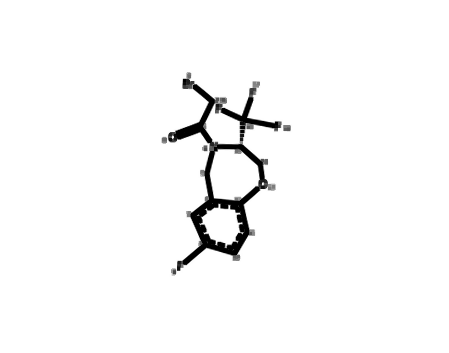 O=C(CBr)N1Cc2cc(F)ccc2OC[C@H]1C(F)(F)F